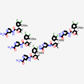 COc1c([C@@H]2[C@@H](C)[C@@H](C)O[C@@H]2C(=O)Nc2ccnc(C(N)=O)c2)ccc(F)c1F.COc1c([C@@H]2[C@@H](C)[C@H](C)O[C@@H]2C(=O)Nc2ccnc(C(N)=O)c2)ccc(F)c1F.COc1c([C@@H]2[C@H](C)[C@@H](C)O[C@@H]2C(=O)Nc2ccnc(C(N)=O)c2)ccc(F)c1F.COc1c([C@@H]2[C@H](C)[C@H](C)O[C@H]2C(=O)Nc2ccnc(C(N)=O)c2)ccc(F)c1F.COc1c([C@H]2[C@H](C)[C@H](C)O[C@@H]2C(=O)Nc2ccnc(C(N)=O)c2)ccc(F)c1F